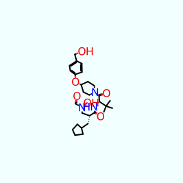 CC(C)(C)[C@H](NC(=O)[C@H](CC1CCCC1)CN(O)C=O)C(=O)N1CCC(Oc2ccc(CO)cc2)CC1